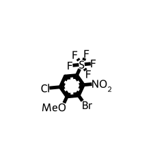 COc1c(Cl)cc(S(F)(F)(F)(F)F)c([N+](=O)[O-])c1Br